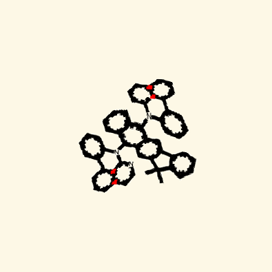 CC1(C)c2ccccc2-c2cc3c(N(c4ccccn4)c4ccccc4-c4ccccc4)c4ccccc4c(N(c4ccccn4)c4ccccc4-c4ccccc4)c3cc21